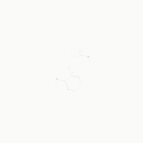 CC(=O)NS(=O)(=O)Cc1ccccc1C(=O)O